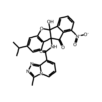 Cc1nnc2c(C(=O)NC34C(=O)c5c([N+](=O)[O-])cccc5C3(O)Oc3cc(C(C)C)ccc34)cccn12